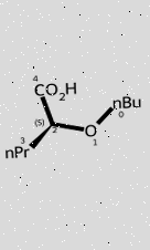 CCCCO[C@@H](CCC)C(=O)O